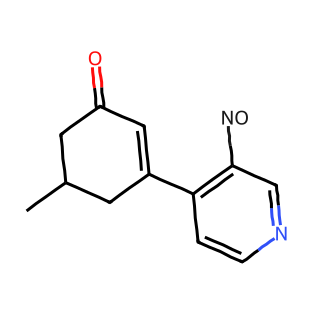 CC1CC(=O)C=C(c2ccncc2N=O)C1